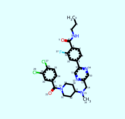 CCCNC(=O)c1ccc(-c2cnc(CN(C)C3CCN(C(=O)c4ccc(Cl)c(Cl)c4)CC3)cn2)cc1F